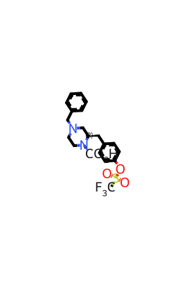 O=C(O)N1CCN(Cc2ccccc2)C[C@H]1Cc1ccc(OS(=O)(=O)C(F)(F)F)cc1